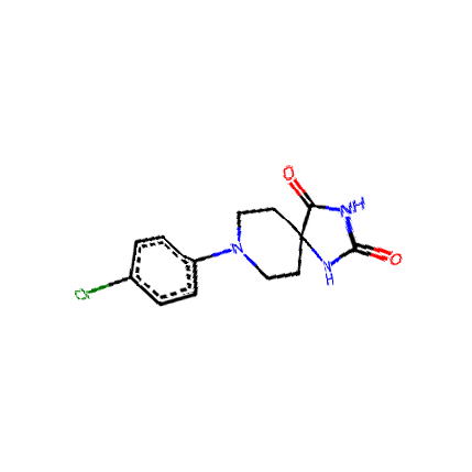 O=C1NC(=O)C2(CCN(c3ccc(Cl)cc3)CC2)N1